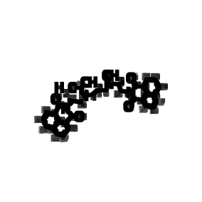 CC(C)N(CCCN(C)CCN1C(=O)c2cccc3cccc(c23)C1=O)CCN1C(=O)c2cccc3cccc(c23)C1=O